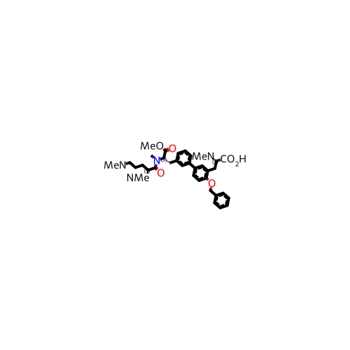 CNCCC[C@H](NC)C(=O)N(C)[C@@H](Cc1cccc(-c2ccc(OCc3ccccc3)c(C[C@H](NC)C(=O)O)c2)c1)C(=O)OC